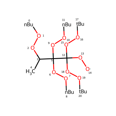 CCCCOOC(C)C(OOCCCC)(OOCCCC)C(O[O])(OOC(C)(C)C)OOC(C)(C)C